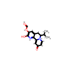 CC(C)C1Cc2cc(OC=O)c(O)nc2-c2cc(=O)ccn21